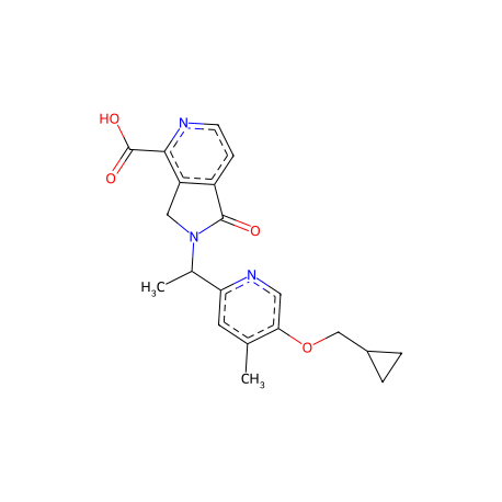 Cc1cc(C(C)N2Cc3c(ccnc3C(=O)O)C2=O)ncc1OCC1CC1